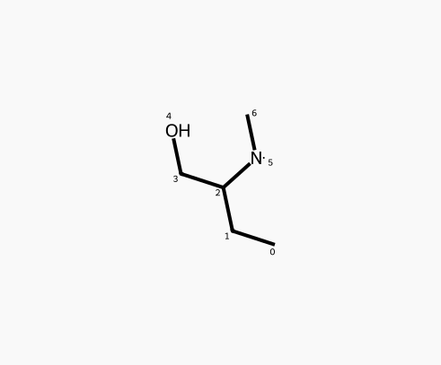 CCC(CO)[N]C